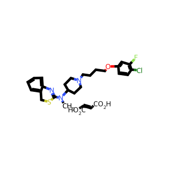 CN(C1=Nc2ccccc2CS1)C1CCN(CCCCOc2ccc(Cl)c(F)c2)CC1.O=C(O)/C=C/C(=O)O